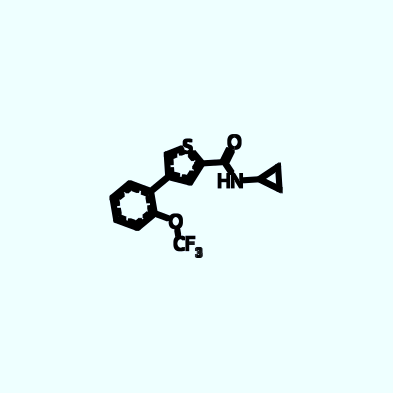 O=C(NC1CC1)c1cc(-c2ccccc2OC(F)(F)F)cs1